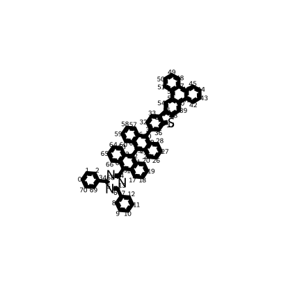 c1ccc(-c2nc(-c3ccccc3)nc(-c3c4ccccc4c(-c4c5ccccc5c(-c5ccc6c(c5)sc5cc7c8ccccc8c8ccccc8c7cc56)c5ccccc45)c4ccccc34)n2)cc1